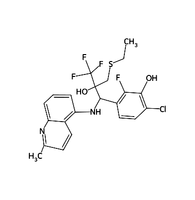 CCSCC(O)(C(Nc1cccc2nc(C)ccc12)c1ccc(Cl)c(O)c1F)C(F)(F)F